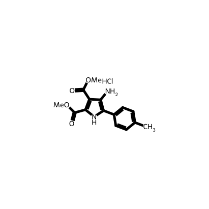 COC(=O)c1[nH]c(-c2ccc(C)cc2)c(N)c1C(=O)OC.Cl